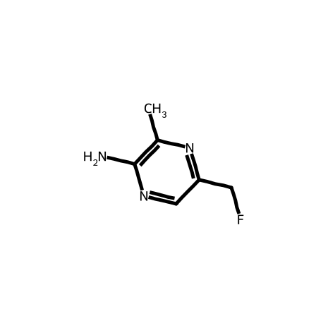 Cc1nc(CF)cnc1N